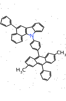 Cc1ccc2c(-c3ccc(-n4c5ccccc5c5cc(-c6ccccc6)c6ccccc6c54)cc3)c3cc(C)ccc3c(-c3ccccc3)c2c1